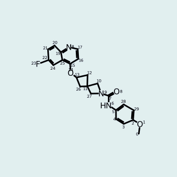 COc1ccc(NC(=O)N2CC3(CC(Oc4ccnc5ccc(F)cc45)C3)C2)cc1